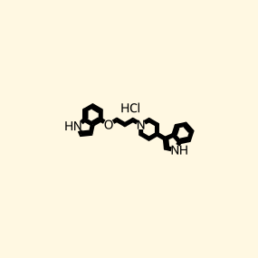 Cl.c1cc(OCCCN2CCC(c3c[nH]c4ccccc34)CC2)c2cc[nH]c2c1